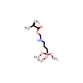 C=C(C)C(=O)OCNCCC[Si](OC)(OC)OC